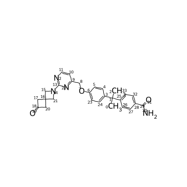 CC(C)(c1ccc(OCc2ccnc(N3CC4(CC(=O)C4)C3)n2)cc1)c1ccc(C(N)=O)cc1